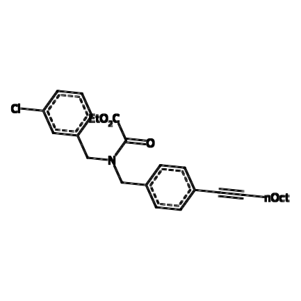 CCCCCCCCC#Cc1ccc(CN(Cc2cccc(Cl)c2)C(=O)C(=O)OCC)cc1